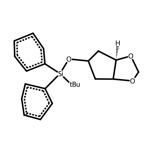 CC(C)(C)[Si](OC1CC2OCO[C@@H]2C1)(c1ccccc1)c1ccccc1